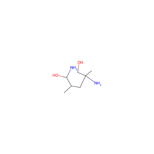 CC(CC(C)(N)CO)C(N)O